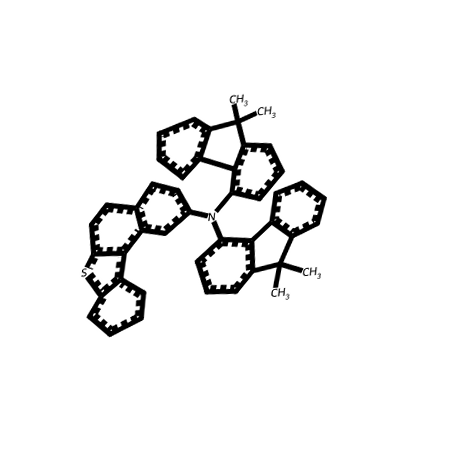 CC1(C)c2ccccc2-c2c(N(c3ccc4ccc5sc6ccccc6c5c4c3)c3cccc4c3-c3ccccc3C4(C)C)cccc21